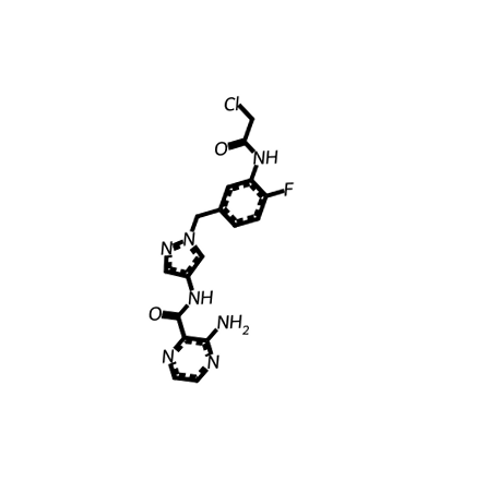 Nc1nccnc1C(=O)Nc1cnn(Cc2ccc(F)c(NC(=O)CCl)c2)c1